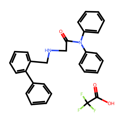 O=C(CNCc1ccccc1-c1ccccc1)N(c1ccccc1)c1ccccc1.O=C(O)C(F)(F)F